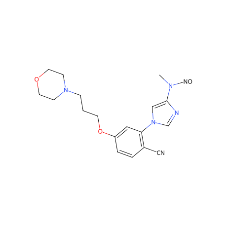 CN(N=O)c1cn(-c2cc(OCCCN3CCOCC3)ccc2C#N)cn1